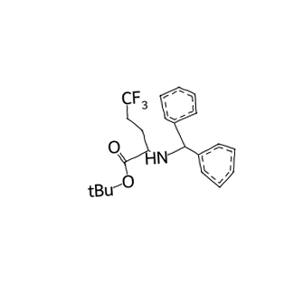 CC(C)(C)OC(=O)C(CCC(F)(F)F)NC(c1ccccc1)c1ccccc1